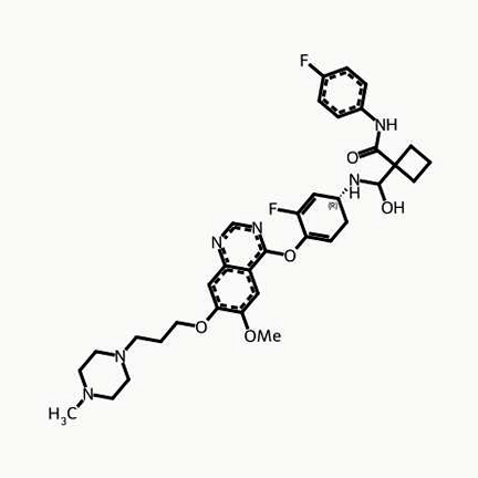 COc1cc2c(OC3=CC[C@@H](NC(O)C4(C(=O)Nc5ccc(F)cc5)CCC4)C=C3F)ncnc2cc1OCCCN1CCN(C)CC1